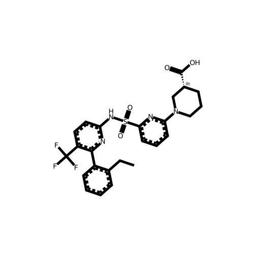 CCc1ccccc1-c1nc(NS(=O)(=O)c2cccc(N3CCC[C@@H](C(=O)O)C3)n2)ccc1C(F)(F)F